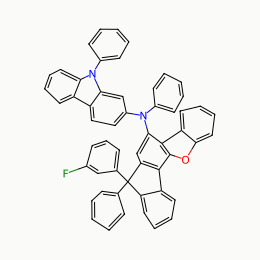 Fc1cccc(C2(c3ccccc3)c3ccccc3-c3c2cc(N(c2ccccc2)c2ccc4c5ccccc5n(-c5ccccc5)c4c2)c2c3oc3ccccc32)c1